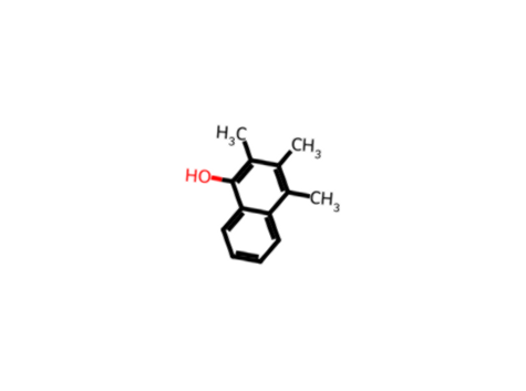 Cc1c(C)c(O)c2ccccc2c1C